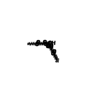 CCCCCCCCOC(=O)CCCCCC(=O)OCC(CO)(CO)COC(=O)CCCCCC(=O)OCCCCCCCC